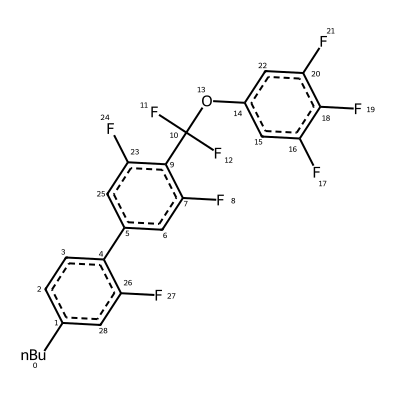 CCCCc1ccc(-c2cc(F)c(C(F)(F)Oc3cc(F)c(F)c(F)c3)c(F)c2)c(F)c1